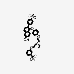 CCN(CCOc1ccc(Oc2c(-c3ccc(S(C)(=O)=O)cc3)ccc3cc(O)ccc23)cc1)CCOc1cccc(C(=O)O)c1